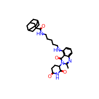 Cc1nc2cccc(NCCCCCNC(=O)C34CC5CC(CC(C5)C3)C4)c2c(=O)n1C1CCC(=O)NC1=O